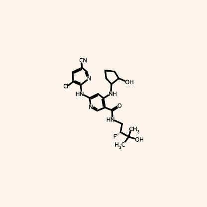 CC(C)(O)[C@H](F)CNC(=O)c1cnc(Nc2ncc(C#N)cc2Cl)cc1NC1CCCC1O